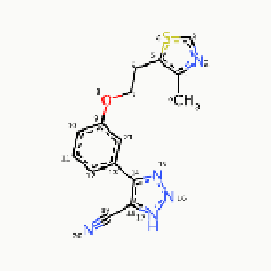 Cc1ncsc1CCOc1cccc(-c2nn[nH]c2C#N)c1